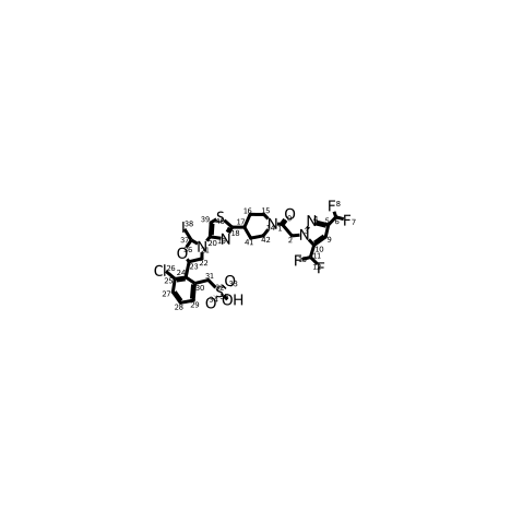 O=C(Cn1nc(C(F)F)cc1C(F)F)N1CCC(c2nc(N3CC(c4c(Cl)cccc4CS(=O)(=O)O)OC3I)cs2)CC1